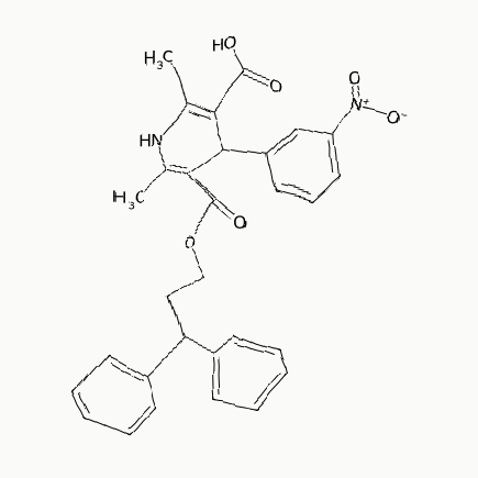 CC1=C(C(=O)O)C(c2cccc([N+](=O)[O-])c2)C(C(=O)OCCC(c2ccccc2)c2ccccc2)=C(C)N1